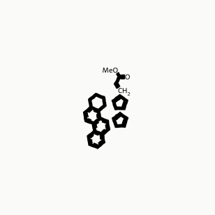 C1=CCC=C1.C1=CCC=C1.C=CC(=O)OC.c1ccc2c(c1)ccc1c3c(ccc12)CCCC3